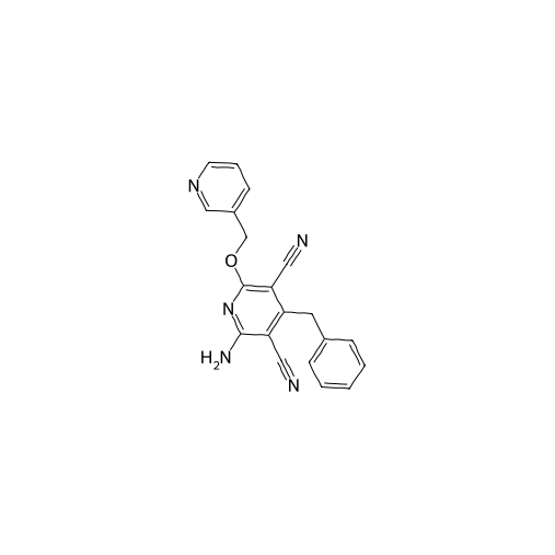 N#Cc1c(N)nc(OCc2cccnc2)c(C#N)c1Cc1ccccc1